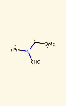 CCCN([C]=O)COC